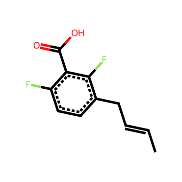 CC=CCc1ccc(F)c(C(=O)O)c1F